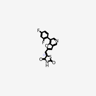 O=C1NC(=O)/C(=C/c2cc3cncc(-c4ccc(F)cc4F)c3o2)S1